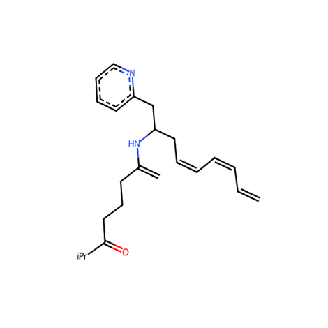 C=C/C=C\C=C/CC(Cc1ccccn1)NC(=C)CCCC(=O)C(C)C